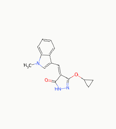 Cn1cc(/C=C2\C(=O)NN=C2OC2CC2)c2ccccc21